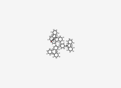 c1ccc2c(c1)-c1cc3c4ccccc4c4ccccc4c3cc1-c1ccc(-n3c4ccccc4c4ccccc43)cc1-c1cccc(-n3c4ccccc4c4ccccc43)c1-2